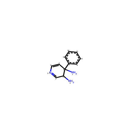 NC1C=NC=CC1(N)c1ccccc1